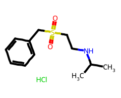 CC(C)NCCS(=O)(=O)Cc1ccccc1.Cl